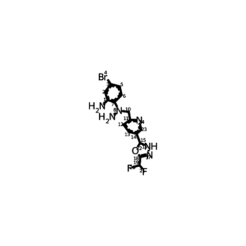 Nc1cc(Br)ccc1N(N)Cc1ccc(C2NN=C(C(F)F)O2)cn1